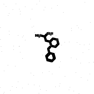 O=C(O)C(CC1COCCN1Cc1ccccc1)C(=O)O